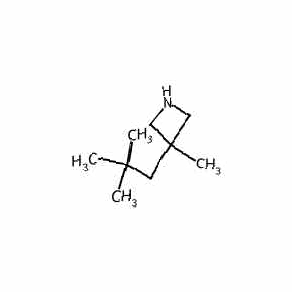 CC(C)(C)CC1(C)CNC1